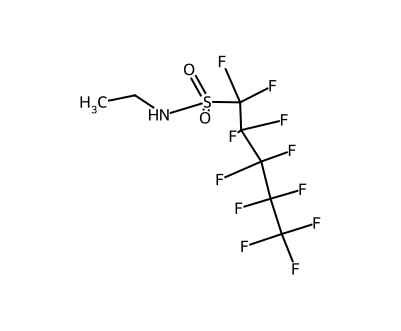 CCNS(=O)(=O)C(F)(F)C(F)(F)C(F)(F)C(F)(F)C(F)(F)F